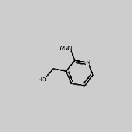 CNc1nc[c]cc1CO